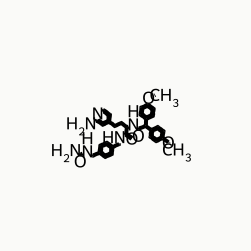 COc1ccc(C(C(=O)NC(CCc2ccnc(N)c2)C(=O)NCc2ccc(CNC(N)=O)cc2)c2ccc(OC)cc2)cc1